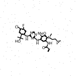 C=CC(=O)Nc1cc(Nc2ncnc(Nc3cc(F)c(Cl)cc3C(C)(C)O)n2)c(OC)cc1N(C)CCN(C)C